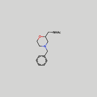 CC(=O)NCC1CN(Cc2ccccc2)CCO1